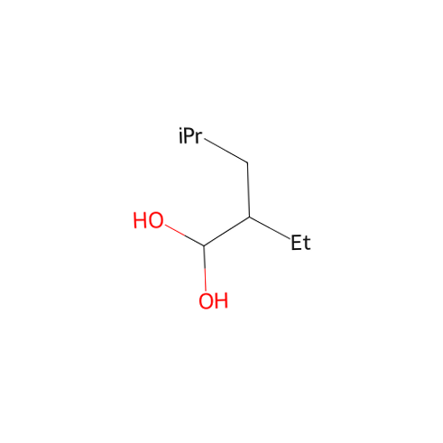 CCC(CC(C)C)C(O)O